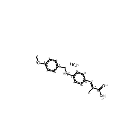 COc1ccc(CNc2ccc(/C=C(\C)C(=O)O)cc2)cc1.Cl